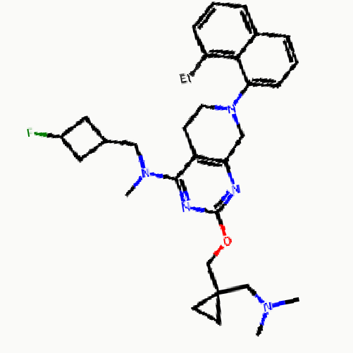 CCc1cccc2cccc(N3CCc4c(nc(OCC5(CN(C)C)CC5)nc4N(C)CC4CC(F)C4)C3)c12